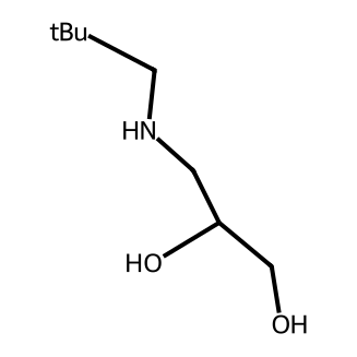 CC(C)(C)CNCC(O)CO